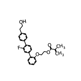 C=C(C)C(=O)OCCOc1ccccc1-c1ccc(-c2ccc(CCO)cc2)c(F)c1